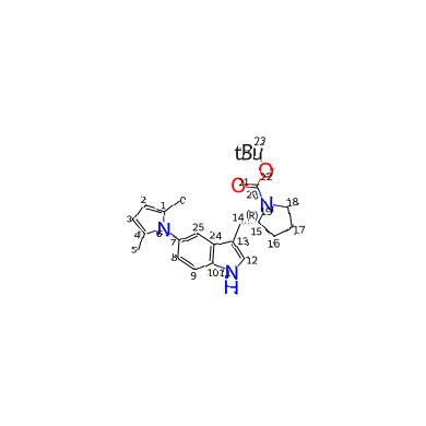 Cc1ccc(C)n1-c1ccc2[nH]cc(C[C@H]3CCCN3C(=O)OC(C)(C)C)c2c1